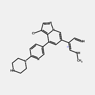 CN/C=C(\C=N)c1cc(-c2ccc(N3CCNCC3)nc2)c2c(Cl)cnn2c1